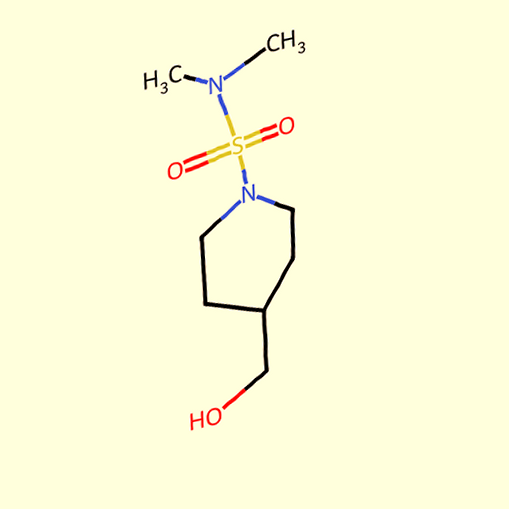 CN(C)S(=O)(=O)N1CCC(CO)CC1